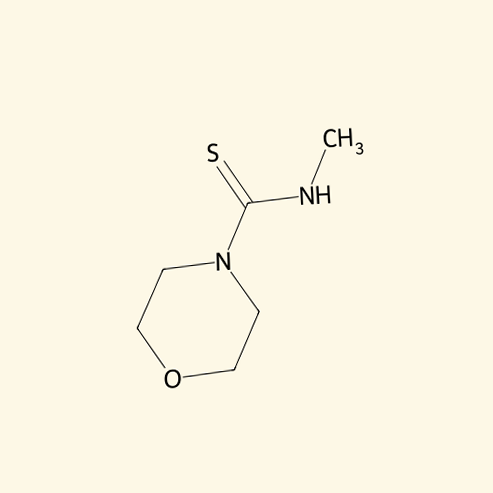 CNC(=S)N1CCOCC1